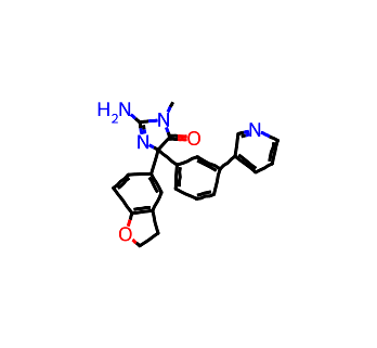 CN1C(=O)C(c2cccc(-c3cccnc3)c2)(c2ccc3c(c2)CCO3)N=C1N